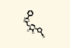 N#CC1CCC(n2ccn(Cc3nnc(-c4ccccc4)s3)c(=O)c2=O)C1